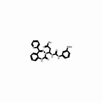 CNc1cccc(NC(=O)NC(CC(=O)C(C)(C)C)N2N=C(c3ccccn3)c3ccccc3NC2=O)c1